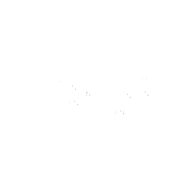 CNC(=O)C(CCOc1ccc2c(c1)N=C(N)N(CC(=O)OCC(C)(C)C)C2)N1CCNCC1